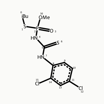 CCC(C)SP(=O)(NC(=S)Nc1ccc(Cl)cc1Cl)OC